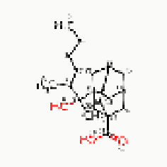 CCCCC(C)C(C)(O)C12CC3CC(CC(C(=O)O)(C3)C1)C2